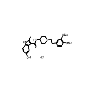 COc1ccc(CCN2CCC(NC(=O)c3c(C)[nH]c4ccc(O)cc34)CC2)cc1OC.Cl